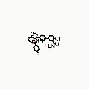 NC(=O)c1cc(-c2ccc(C3(NC(=O)c4ccc(F)cc4)CCOc4cccnc43)cc2)ccc1Cl